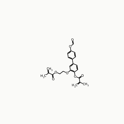 C=C(C)C(=O)OCCOc1cc(-c2ccc(OC=O)cc2)ccc1OC(=O)C(=C)C